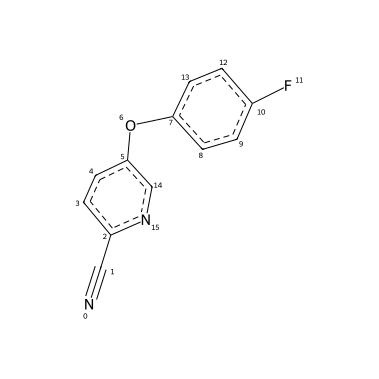 N#Cc1ccc(Oc2ccc(F)cc2)cn1